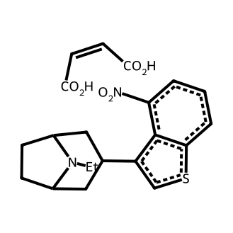 CCN1C2CCC1CC(c1csc3cccc([N+](=O)[O-])c13)C2.O=C(O)/C=C\C(=O)O